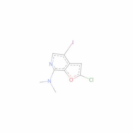 CN(C)c1ncc(I)c2cc(Cl)oc12